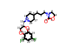 O=C1OCCN1CCCC1CCN(C[C@H]2COc3c(F)cc(F)cc3O2)CC1